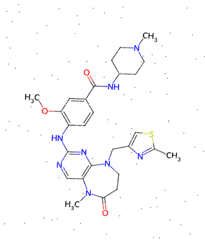 COc1cc(C(=O)NC2CCN(C)CC2)ccc1Nc1ncc2c(n1)N(Cc1csc(C)n1)CCC(=O)N2C